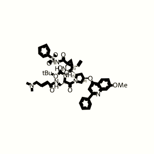 C=C[C@@]1(C(=O)[C@@H]2C[C@@H](Oc3cc(-c4ccccc4)nc4cc(OC)ccc34)CN2C(=O)[C@H](CNC(=O)C=CCN(C)C)NC(=O)OC(C)(C)C)C[C@]1(N)C(=O)NS(=O)(=O)c1ccccc1